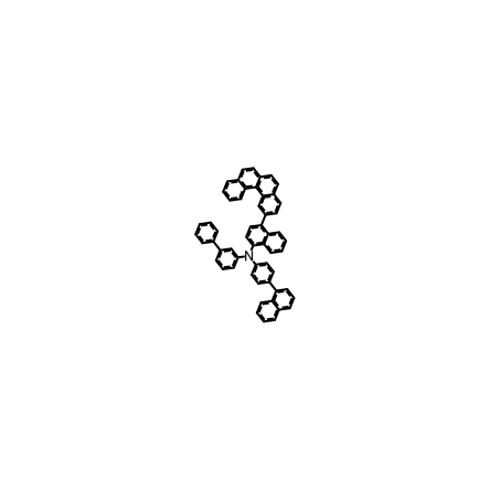 c1ccc(-c2cccc(N(c3ccc(-c4cccc5ccccc45)cc3)c3ccc(-c4ccc5ccc6ccc7ccccc7c6c5c4)c4ccccc34)c2)cc1